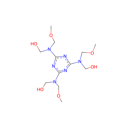 COCN(CO)c1nc(N(CO)COC)nc(N(CO)COC)n1